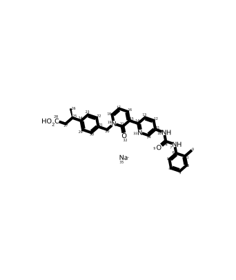 Cc1ccccc1NC(=O)Nc1ccc(-c2cccn(Cc3ccc([C@H](C)CC(=O)O)cc3)c2=O)nc1.[Na]